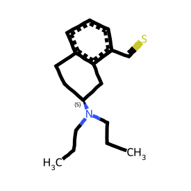 CCCN(CCC)[C@H]1CCc2cccc(C=S)c2C1